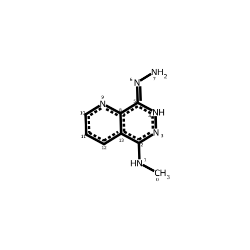 CNc1n[nH]/c(=N\N)c2ncccc12